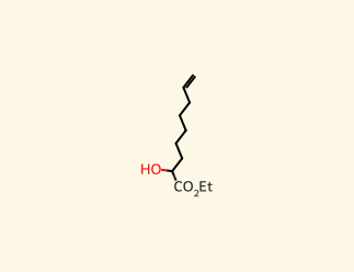 C=CCCCCCC(O)C(=O)OCC